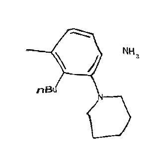 CCCCc1c(C)cccc1N1CCCCC1.N